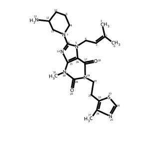 CC(C)=CCn1c(N2CCCC(N)C2)nc2c1c(=O)n(CCc1scnc1C)c(=O)n2C